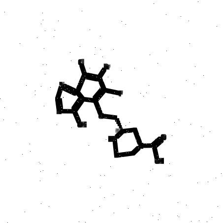 O=C(O)N1CCN[C@H](COc2c(F)c(Br)c(Cl)c3ncnc(O)c23)C1